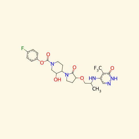 CC(COC1CCN(C2CCN(C(=O)Oc3ccc(F)cc3)CC2O)C1=O)Nc1cn[nH]c(=O)c1C(F)(F)F